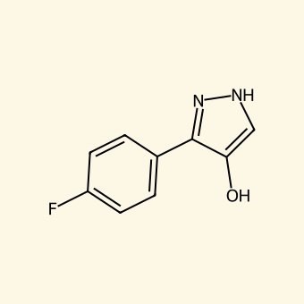 Oc1c[nH]nc1-c1ccc(F)cc1